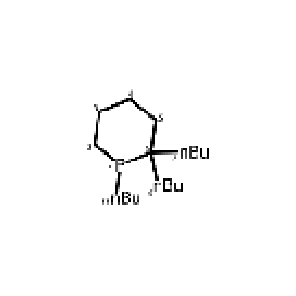 CCCCP1CCCCC1(CCCC)CCCC